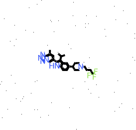 Cc1cc(-c2[nH]c3ccc(C4CCN(CCCC(F)(F)F)CC4)cc3c2C(C)C)cn2nnnc12